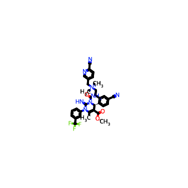 COC(=O)C1=C(C)N(c2cccc(C(F)(F)F)c2)C(=N)N(C(N)=O)[C@@H]1c1ccc(C#N)cc1CC[N+](C)(C)Cc1ccc(C#N)nc1